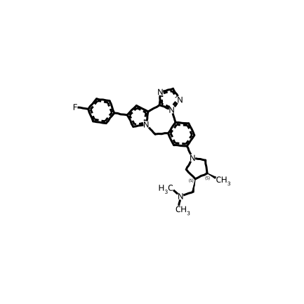 C[C@@H]1CN(c2ccc3c(c2)Cn2cc(-c4ccc(F)cc4)cc2-c2ncnn2-3)C[C@@H]1CN(C)C